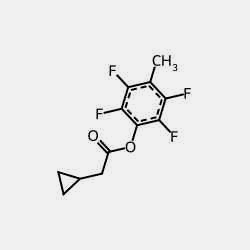 Cc1c(F)c(F)c(OC(=O)CC2CC2)c(F)c1F